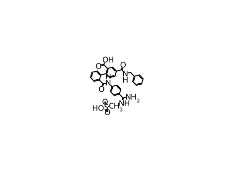 CS(=O)(=O)O.N=C(N)c1ccc(NC(=O)c2ccccc2-c2ccc(C(=O)NCc3ccccc3)cc2C(=O)O)cc1